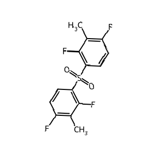 Cc1c(F)ccc(S(=O)(=O)c2ccc(F)c(C)c2F)c1F